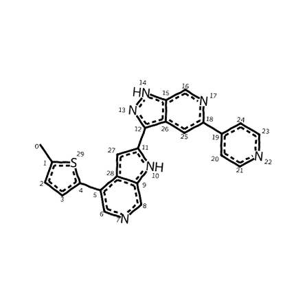 Cc1ccc(-c2cncc3[nH]c(-c4n[nH]c5cnc(-c6ccncc6)cc45)cc23)s1